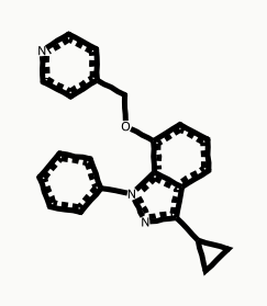 c1ccc(-n2nc(C3CC3)c3cccc(OCc4ccncc4)c32)cc1